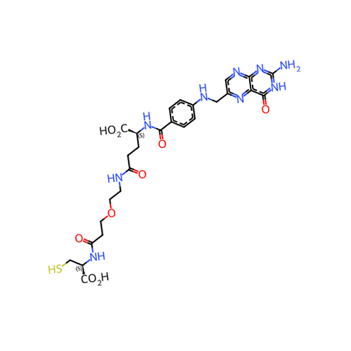 Nc1nc2ncc(CNc3ccc(C(=O)N[C@@H](CCC(=O)NCCOCCC(=O)N[C@H](CS)C(=O)O)C(=O)O)cc3)nc2c(=O)[nH]1